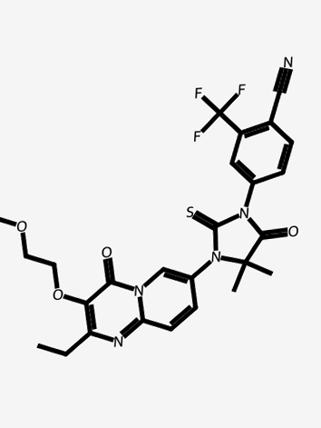 CCc1nc2ccc(N3C(=S)N(c4ccc(C#N)c(C(F)(F)F)c4)C(=O)C3(C)C)cn2c(=O)c1OCCOC